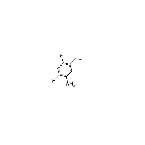 CCc1cc(N)c(F)cc1F